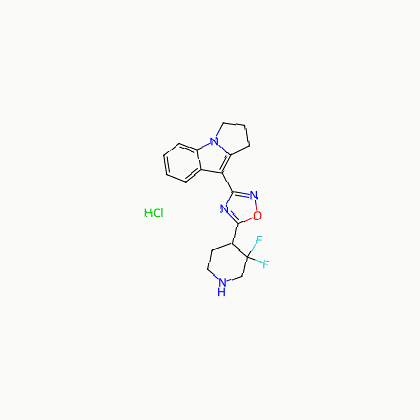 Cl.FC1(F)CNCCC1c1nc(-c2c3n(c4ccccc24)CCC3)no1